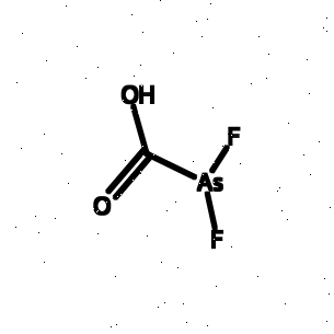 O=C(O)[As](F)F